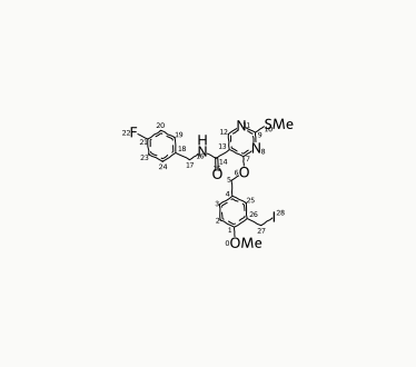 COc1ccc(COc2nc(SC)ncc2C(=O)NCc2ccc(F)cc2)cc1CI